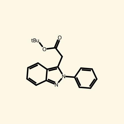 CC(C)(C)OC(=O)Cc1c2ccccc2nn1-c1ccccc1